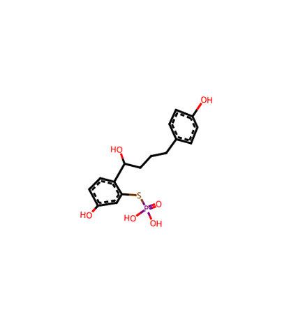 O=P(O)(O)Sc1cc(O)ccc1C(O)CCCc1ccc(O)cc1